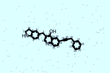 Oc1c(Cc2ccc3c(c2)CCN3)cnc2ccc(C#CCc3ccccc3)cc12